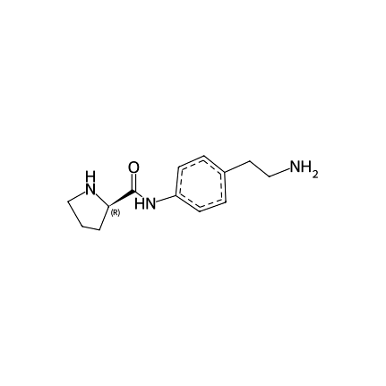 NCCc1ccc(NC(=O)[C@H]2CCCN2)cc1